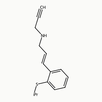 C#CCNC/C=C/c1ccccc1SC(C)C